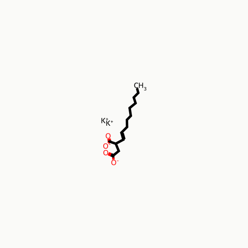 CCCCCCCCC=CC(CC(=O)[O-])C(=O)[O-].[K+].[K+]